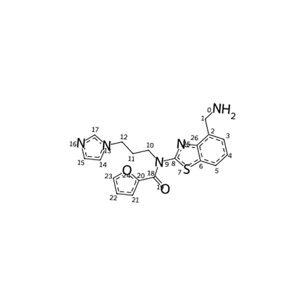 NCc1cccc2sc(N(CCCn3ccnc3)C(=O)c3ccco3)nc12